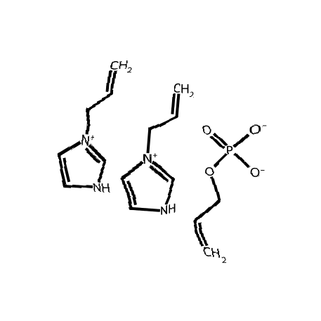 C=CCOP(=O)([O-])[O-].C=CC[n+]1cc[nH]c1.C=CC[n+]1cc[nH]c1